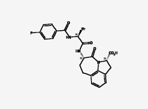 CC(C)[C@H](NC(=O)c1ccc(F)cc1)C(=O)N[C@H]1CCc2cccc3c2N(C1=O)[C@H](C(=O)O)C3